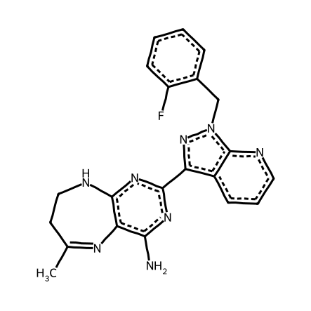 CC1=Nc2c(N)nc(-c3nn(Cc4ccccc4F)c4ncccc34)nc2NCC1